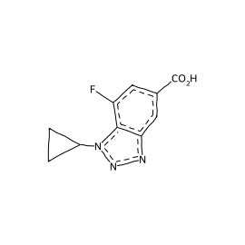 O=C(O)c1cc(F)c2c(c1)nnn2C1CC1